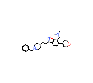 CN(C)Cc1c(C2=CCOCC2)ccc2c(CCC3CCN(Cc4ccccc4)CC3)noc12